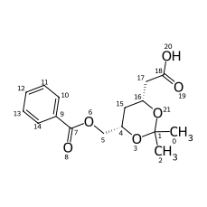 CC1(C)O[C@H](COC(=O)c2ccccc2)C[C@H](CC(=O)O)O1